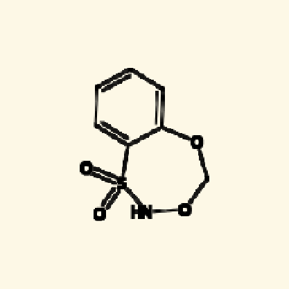 O=S1(=O)NOCOc2ccccc21